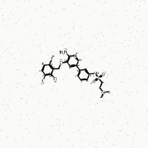 CN(C)CCS(=O)(=O)Nc1cccc(-c2cnc(N)c(OCc3c(F)ccc(F)c3Cl)c2)c1